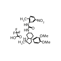 COc1ccc([C@@]23CC[C@@H](NC(=O)Nc4cc([N+](=O)[O-])ccc4C)C[C@@H]2N(C)CC3)cc1OC.O=C(O)C(F)(F)F